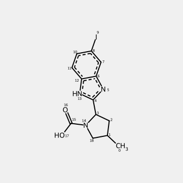 CC1CC(c2nc3cc(I)ccc3[nH]2)N(C(=O)O)C1